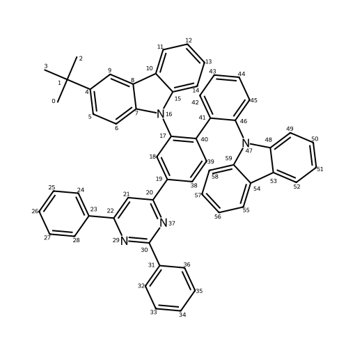 CC(C)(C)c1ccc2c(c1)c1ccccc1n2-c1cc(-c2cc(-c3ccccc3)nc(-c3ccccc3)n2)ccc1-c1ccccc1-n1c2ccccc2c2ccccc21